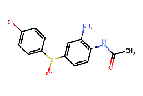 CC(=O)Nc1ccc([S+]([O-])c2ccc(Br)cc2)cc1N